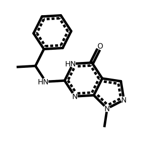 CC(Nc1nc2c(cnn2C)c(=O)[nH]1)c1ccccc1